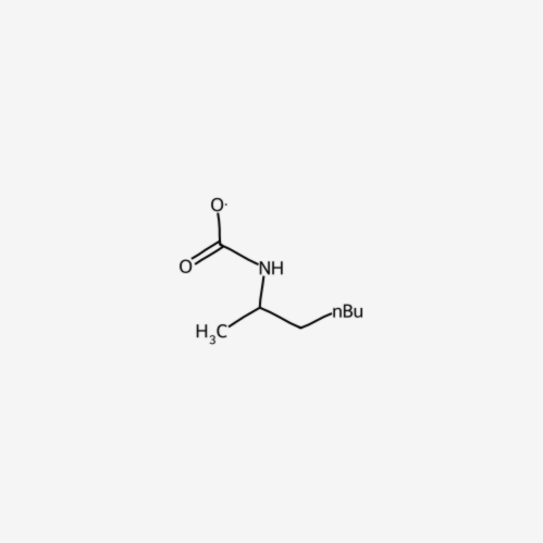 CCCCCC(C)NC([O])=O